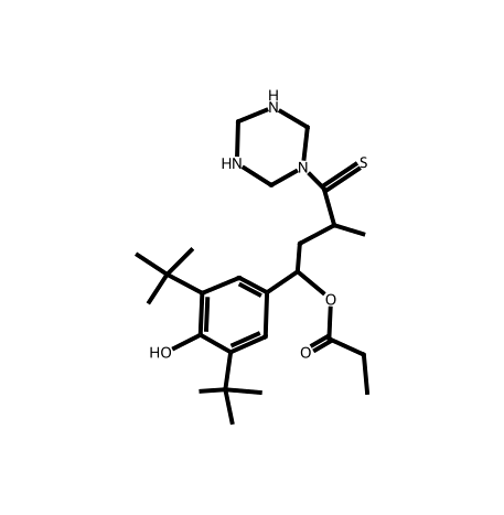 CCC(=O)OC(CC(C)C(=S)N1CNCNC1)c1cc(C(C)(C)C)c(O)c(C(C)(C)C)c1